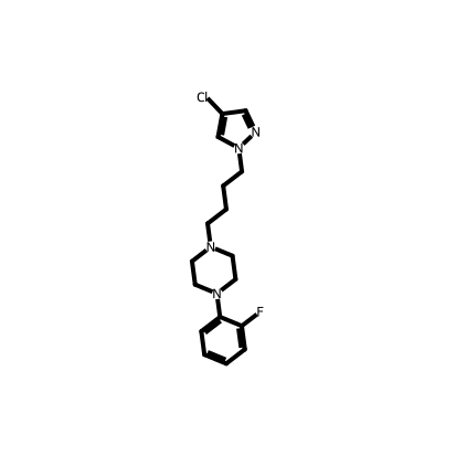 Fc1ccccc1N1CCN(CCCCn2cc(Cl)cn2)CC1